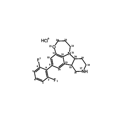 Cl.Fc1cccc(F)c1-c1cc2c3c(c1)C1CNCCC1N3CCCO2